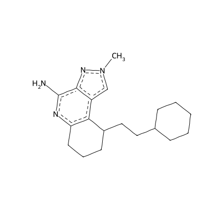 Cn1cc2c3c(nc(N)c2n1)CCCC3CCC1CCCCC1